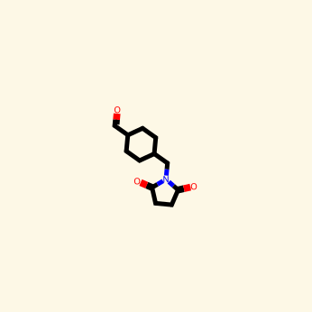 O=CC1CCC(CN2C(=O)CCC2=O)CC1